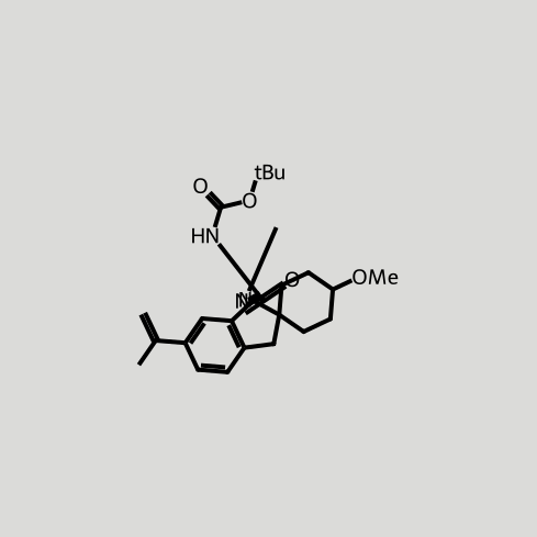 C=C(C)c1ccc2c(c1)C1(N=C(NC(=O)OC(C)(C)C)N(C)C1=O)C1(CCC(OC)CC1)C2